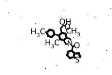 Cc1ccc(-c2c(C)c3c(c(C)c2CC(=O)O)CN(C(=O)c2cccc4sccc24)C3)cc1